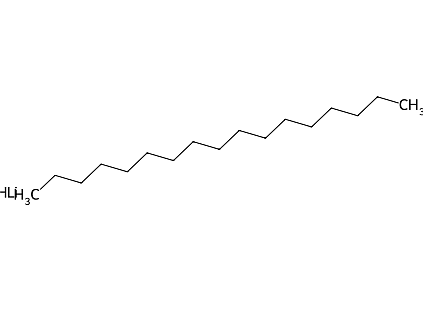 CCCCCCCCCCCCCCCCC.[LiH]